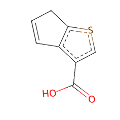 O=C(O)c1csc2c1C=CC2